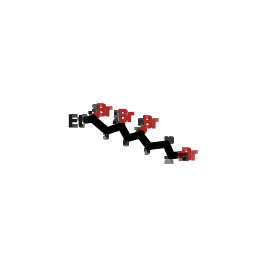 CCC(Br)CC(Br)CC(Br)CCCBr